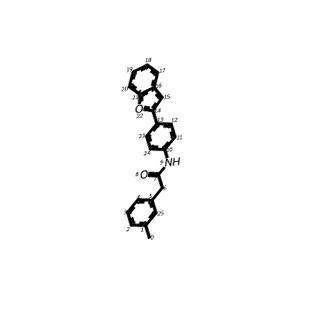 Cc1cccc(CC(=O)Nc2ccc(-c3cc4ccccc4o3)cc2)c1